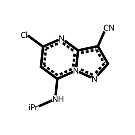 CC(C)Nc1cc(Cl)nc2c(C#N)cnn12